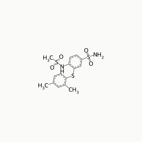 Cc1ccc(Sc2cc(S(N)(=O)=O)ccc2NS(C)(=O)=O)c(C)c1